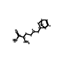 NC(CCOCC1CC2C=CC1C2)C(=O)O